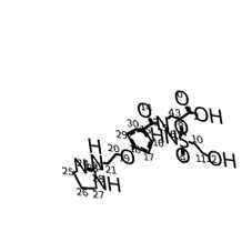 O=C(O)CCN(NS(=O)(=O)CCO)C(=O)c1ccc(OCCNC2=NCCCN2)cc1